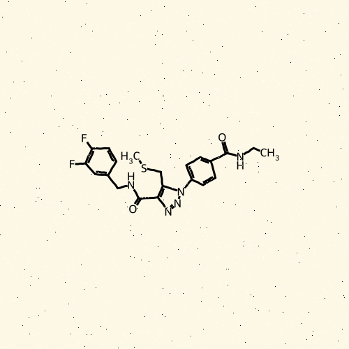 CCNC(=O)c1ccc(-n2nnc(C(=O)NCc3ccc(F)c(F)c3)c2CSC)cc1